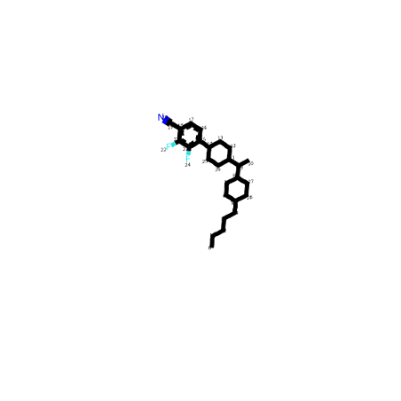 CCCCCC1CCC(C(C)C2CCC(c3ccc(C#N)c(F)c3F)CC2)CC1